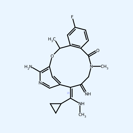 CN/C(=C1\C(=N)CN(C)C(=O)c2ccc(F)cc2C(C)Oc2cc1cnc2N)C1CC1